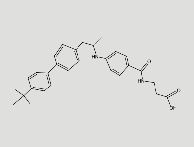 C[C@@H](Cc1ccc(-c2ccc(C(C)(C)C)cc2)cc1)Nc1ccc(C(=O)NCCC(=O)O)cc1